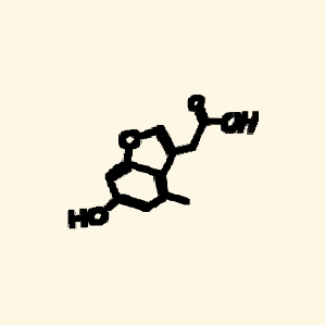 Cc1cc(O)cc2occ(CC(=O)O)c12